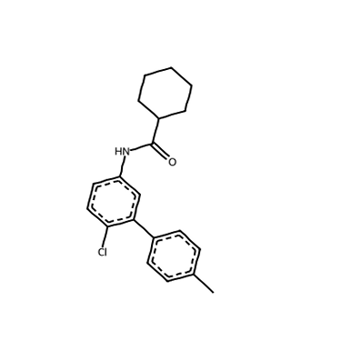 Cc1ccc(-c2cc(NC(=O)C3CCCCC3)ccc2Cl)cc1